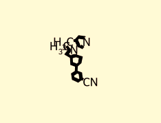 Cc1ccncc1-n1c(C)cc2cc(-c3cccc(C#N)c3)ccc21